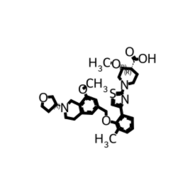 COc1cc(COc2c(C)cccc2-c2csc(N3CC[C@@H](C(=O)O)[C@@H](OC)C3)n2)cc2c1CN([C@@H]1CCOC1)CC2